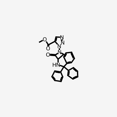 COC(=O)c1cnnn1N1CC(NC(c2ccccc2)(c2ccccc2)c2ccccc2)C1=O